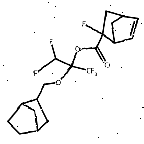 O=C(OC(OCC1CC2CCC1C2)(C(F)F)C(F)(F)F)C1(F)CC2C=CC1C2